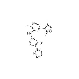 Cc1ncc(-c2c(C)noc2C)cc1Nc1ccc(-n2ccnn2)c(Br)c1